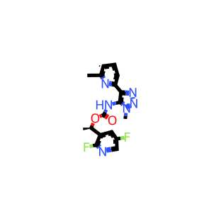 Cc1[c]ccc(-c2nnn(C)c2NC(=O)O[C@H](C)c2cc(F)cnc2F)n1